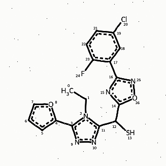 CCn1c(-c2ccco2)nnc1C(S)c1nc(-c2cc(Cl)ccc2F)no1